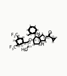 Cc1ccccc1[C@H]1[C@@H]2CN(C(=O)C3CC3)C[C@H]2CC[C@@H]1O[C@H](CO)c1cc(C(F)(F)F)cc(C(F)(F)F)c1